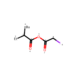 CCCCC(CC)C(=O)OC(=O)CI